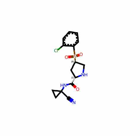 N#CC1(NC(=O)[C@@H]2C[C@@H](S(=O)(=O)c3ccccc3Cl)CN2)CC1